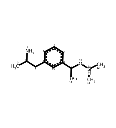 CC(N)Cc1cccc(C(O[SiH](C)C)C(C)(C)C)c1